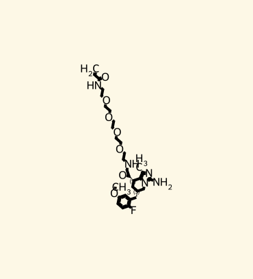 C=CC(=O)NCCOCCOCCOCCOCCNC1OC1[C@H]1C[C@@H](Cc2cc(OC)ccc2F)Cn2c(N)nc(C)c21